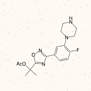 CC(=O)OC(C)(C)c1nc(-c2ccc(F)c(N3CCNCC3)c2)no1